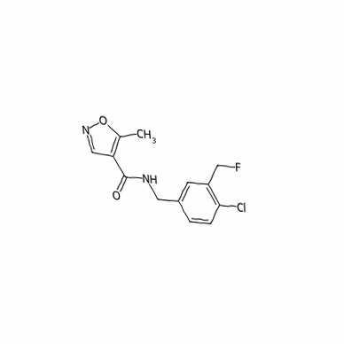 Cc1oncc1C(=O)NCc1ccc(Cl)c(CF)c1